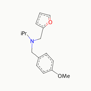 COc1ccc(CN(Cc2ccco2)C(C)C)cc1